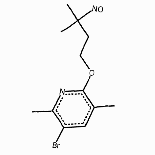 Cc1cc(Br)c(C)nc1OCCC(C)(C)N=O